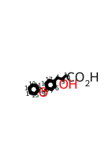 O=C(O)CC(O)Cc1ccc(Oc2ccccc2)cc1